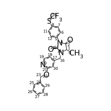 CC1C(=O)N(c2ccc(SC(F)(F)F)cc2)C(=O)N1Cc1ccnc(OCc2ccccc2)c1